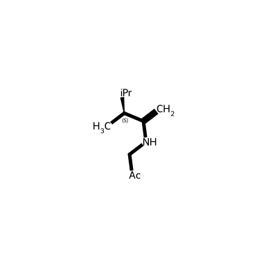 C=C(NCC(C)=O)[C@@H](C)C(C)C